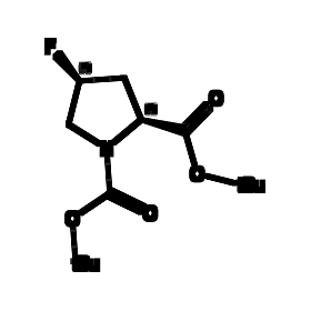 CC(C)(C)OC(=O)[C@@H]1C[C@H](F)CN1C(=O)OC(C)(C)C